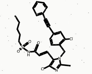 CCCCCS(=O)(=O)NC(=O)C=Cc1c(Cl)nc(C)n1Cc1ccc(C#Cc2ccccc2)cc1Cl